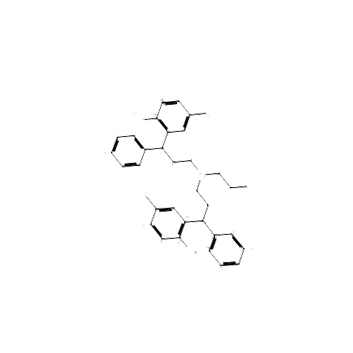 CCCN(CCC(c1ccccc1)c1cc(C)ccc1O)CCC(c1ccccc1)c1cc(C)ccc1O